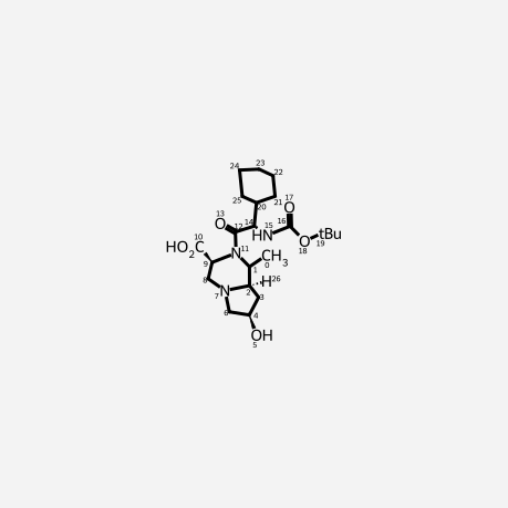 CC1[C@H]2C[C@@H](O)CN2C[C@@H](C(=O)O)N1C(=O)[C@@H](NC(=O)OC(C)(C)C)C1CCCCC1